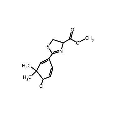 COC(=O)C1CSC(C2=CC(C)(C)C(Cl)C=C2)=N1